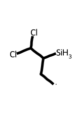 [CH2]CC([SiH3])C(Cl)Cl